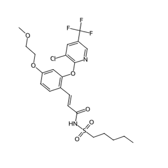 CCCCCS(=O)(=O)NC(=O)C=Cc1ccc(OCCOC)cc1Oc1ncc(C(F)(F)F)cc1Cl